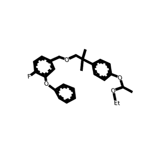 CCOC(C)Oc1ccc(C(C)(C)COCc2ccc(F)c(Oc3ccccc3)c2)cc1